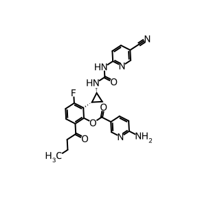 CCCC(=O)c1ccc(F)c([C@H]2C[C@H]2NC(=O)Nc2ccc(C#N)cn2)c1OC(=O)c1ccc(N)nc1